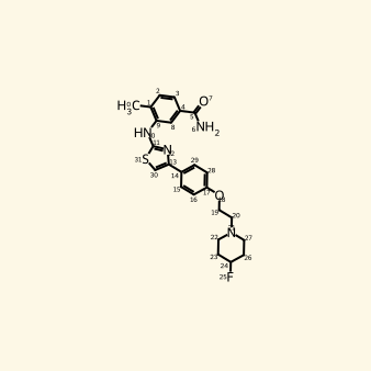 Cc1ccc(C(N)=O)cc1Nc1nc(-c2ccc(OCCN3CCC(F)CC3)cc2)cs1